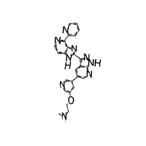 CN(C)CCOc1cncc(-c2cnc3[nH]nc(-c4nc5c(-c6ccccn6)nccc5[nH]4)c3c2)c1